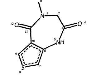 CN1CC(=O)Nc2cscc2C1=O